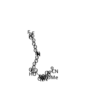 COc1cnc(-n2cnc(C(=O)NCCCCC(CO)(CO)CC[C@H]3CC3C(=O)CCOCCOCCOCCOCc3cn(CCOCCOCCOCCOCCC(=O)Oc4c(F)cc(F)cc4F)nn3)n2)c2[nH]cc(C(=O)C(=O)N3CCC(=C(C#N)c4ccccc4)CC3)c12